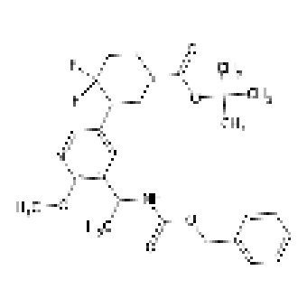 COc1ncc(C2CN(C(=O)OC(C)(C)C)CCC2(F)F)cc1C(C)NC(=O)OCc1ccccc1